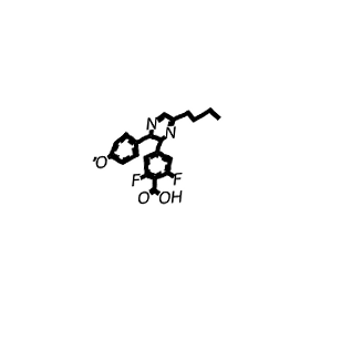 CCCCC1=NC(c2cc(F)c(C(=O)O)c(F)c2)C(c2ccc(OC)cc2)N=C1